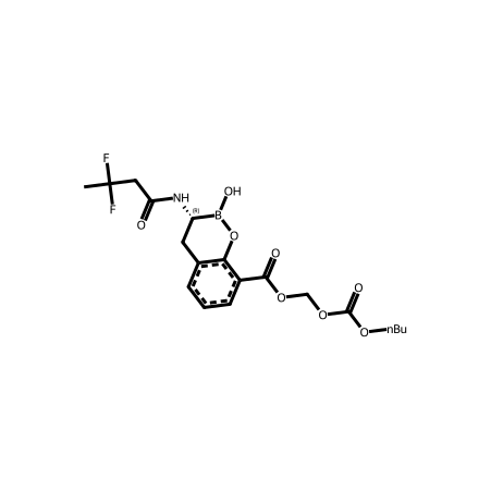 CCCCOC(=O)OCOC(=O)c1cccc2c1OB(O)[C@@H](NC(=O)CC(C)(F)F)C2